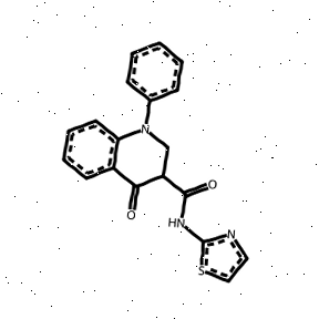 O=C(Nc1nccs1)C1CN(c2ccccc2)c2ccccc2C1=O